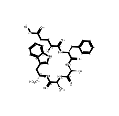 CC[C@H](C)[C@H](NC(=O)[C@H](Cc1ccccc1)NC(=O)[C@@H](N)CCC(=O)OC(C)(C)C)C(=O)N[C@@H](C)C(=O)N[C@@H](Cc1c[nH]c2ccccc12)C(=O)O